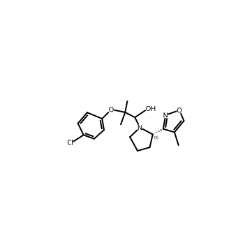 Cc1conc1[C@@H]1CCCN1C(O)C(C)(C)Oc1ccc(Cl)cc1